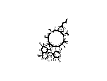 CCCC(=O)O[C@@H]1[C@@H](C)N(C)C[C@H](C)C[C@@](C)(O)[C@H](O[C@@H]2O[C@H](C)CC(N(C)C)[C@H]2O[N+](=O)[O-])[C@@H](C)[C@H](O[C@H]2C[C@@](C)(OC)[C@@H](O)[C@H](C)O2)[C@@H](C)C(=O)O[C@H](CC)[C@@]1(C)O